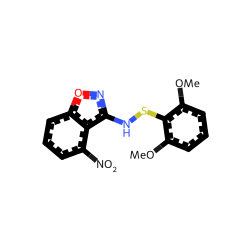 COc1cccc(OC)c1SNc1noc2cccc([N+](=O)[O-])c12